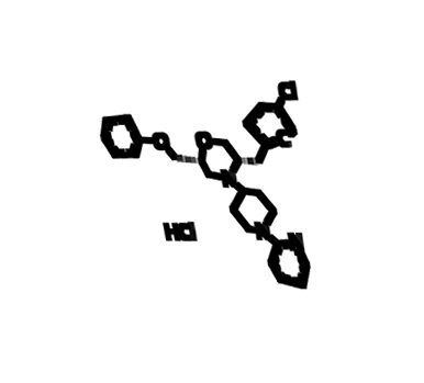 Cl.Clc1ccc(C[C@H]2CO[C@@H](COc3ccccc3)CN2C2CCN(c3ccccn3)CC2)cc1